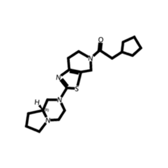 O=C(CC1CCCC1)N1CCc2nc(N3CCN4CCC[C@@H]4C3)sc2C1